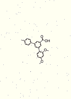 COc1ccc(-c2cc(C(=O)O)cc(-c3ccc(C)cc3)c2)c(OC)c1